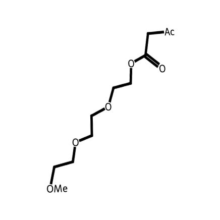 COCCOCCOCCOC(=O)CC(C)=O